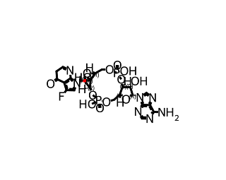 Nc1ncnc2c1ncn2[C@@H]1O[C@@H]2COP(=O)(O)O[C@@H]3[C@H](O)[C@@H](COP(=O)(O)O[C@H]2[C@H]1O)O[C@H]3n1cc(F)c2c1N=CCC2=O